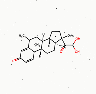 CC(=O)O[C@]1(C(=O)C(O)O)CC[C@H]2[C@@H]3CC(C)C4=CC(=O)C=C[C@]4(C)[C@H]3CC[C@@]21C